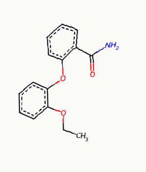 CCOc1ccccc1Oc1ccccc1C(N)=O